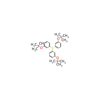 CC(C)(C)Oc1cccc([S+](c2cccc(OC(C)(C)C)c2)c2cccc(OC(C)(C)C)c2)c1